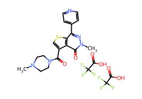 CN1CCN(C(=O)c2csc3c(-c4ccncc4)nn(C)c(=O)c23)CC1.O=C(O)C(F)(F)F.O=C(O)C(F)(F)F